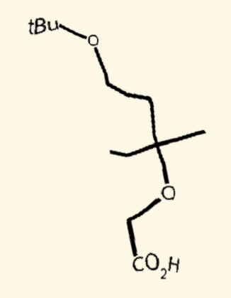 CC(C)(C)OCCC(C)(C)OCC(=O)O